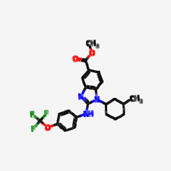 COC(=O)c1ccc2c(c1)nc(Nc1ccc(OC(F)(F)F)cc1)n2C1CCCC(C)C1